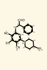 CCc1c(C#N)c(SC([C]=O)c2ccccc2)nc(N2CCC(N)CC2)c1C#N